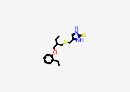 CCc1ccccc1OCC(CC)CSCc1c[nH]c(=S)[nH]1